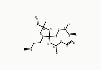 C=CCCCC(CCC(C)C=C)(CC(C)CC=C)CC(C)(C)C=C